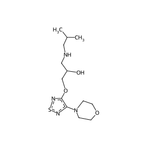 CC(C)CNCC(O)COc1nsnc1N1CCOCC1